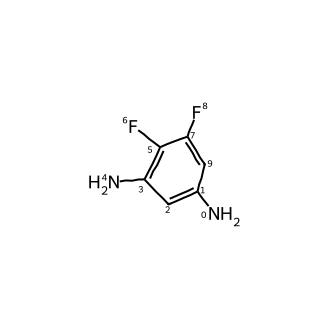 Nc1cc(N)c(F)c(F)c1